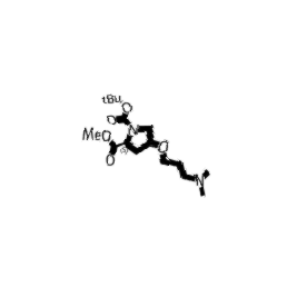 COC(=O)[C@@H]1CC(OCCCN(C)C)CN1C(=O)OC(C)(C)C